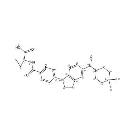 O=C(NC1(C(=O)O)CC1)c1ccc(-n2ccc3cc(C(=O)N4CCC(F)(F)CC4)cnc32)cn1